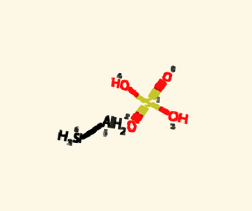 O=S(=O)(O)O.[AlH2][SiH3]